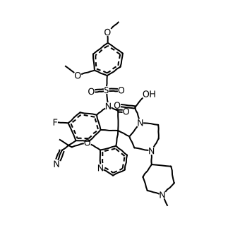 CCOc1ncccc1C1(C2CN(C3CCN(C)CC3)CCN2C(=O)O)C(=O)N(S(=O)(=O)c2ccc(OC)cc2OC)c2cc(F)c(C#N)cc21